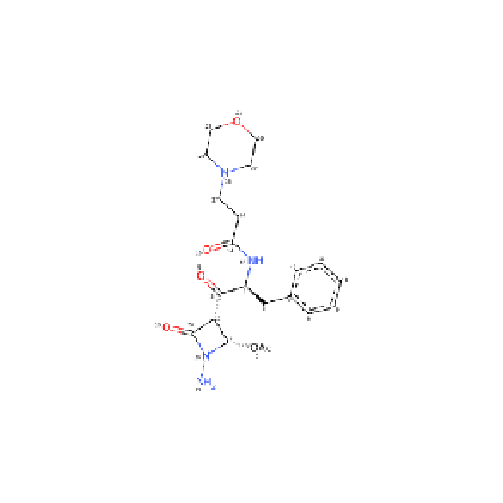 CC(=O)O[C@H]1[C@@H](C(=O)[C@H](Cc2ccccc2)NC(=O)CCN2CCOCC2)C(=O)N1N